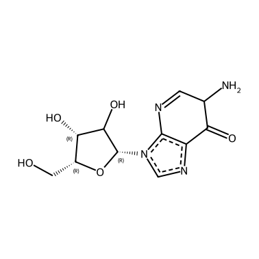 NC1C=Nc2c(ncn2[C@@H]2O[C@H](CO)[C@H](O)C2O)C1=O